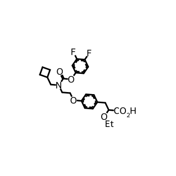 CCOC(Cc1ccc(OCCN(CC2CCC2)C(=O)Oc2ccc(F)c(F)c2)cc1)C(=O)O